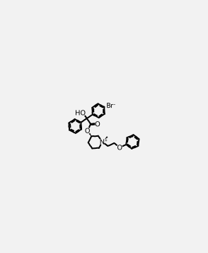 C[N@@+]1(CCOc2ccccc2)CCC[C@@H](OC(=O)C(O)(c2ccccc2)c2ccccc2)C1.[Br-]